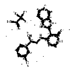 O=C(O)C(F)(F)F.O=c1[nH]ccc(NCC(O)c2cccc(Cl)c2)c1-c1nc2cnccc2[nH]1